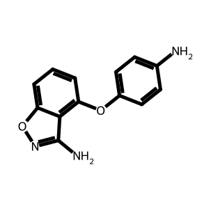 Nc1ccc(Oc2cccc3onc(N)c23)cc1